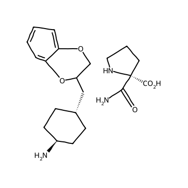 NC(=O)[C@]1(C(=O)O)CCCN1.N[C@H]1CC[C@H](CC2COc3ccccc3O2)CC1